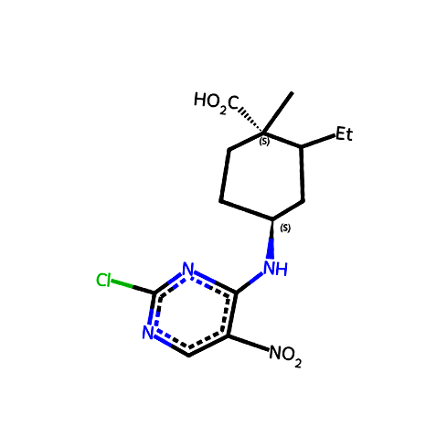 CCC1C[C@@H](Nc2nc(Cl)ncc2[N+](=O)[O-])CC[C@]1(C)C(=O)O